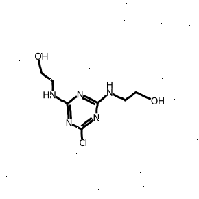 OCCNc1nc(Cl)nc(NCCO)n1